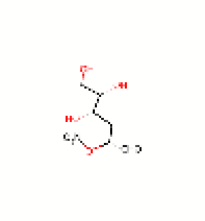 O=C[C@@H](C[C@H](O)[C@@H](O)CO)O[N+](=O)[O-]